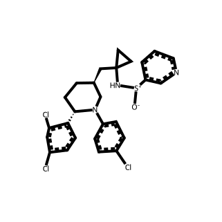 [O-][S+](NC1(C[C@@H]2CC[C@@H](c3ccc(Cl)cc3Cl)N(c3ccc(Cl)cc3)C2)CC1)c1cccnc1